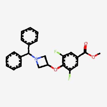 COC(=O)c1cc(F)c(OC2CN(C(c3ccccc3)c3ccccc3)C2)c(F)c1